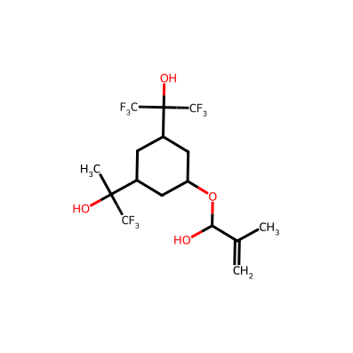 C=C(C)C(O)OC1CC(C(C)(O)C(F)(F)F)CC(C(O)(C(F)(F)F)C(F)(F)F)C1